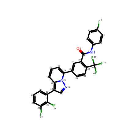 O=C(Nc1ccc(F)cc1)c1cc(-c2cccc3c(-c4cccc(F)c4F)cnn23)ccc1C(F)(F)F